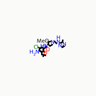 CO[C@@H]1CN(CCNc2nccnc2C)CC[C@@H]1NC(=O)c1cc(Cl)c(N)c2c1OC(C)(C)C2